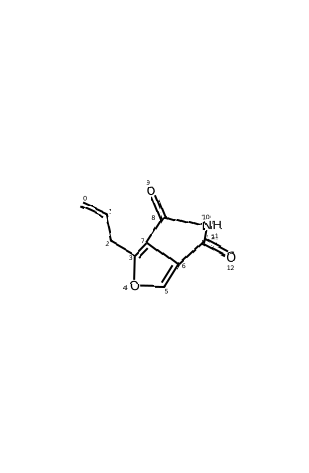 C=CCc1occ2c1C(=O)NC2=O